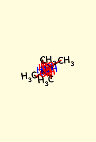 CCCCCC=CCC=CCCCCCCC(O)CN(CCCCC1NC(=O)C(CCCCN(CC(O)CCCCCC/C=C\C/C=C\CCCCC)CC(O)CCCCCC/C=C\C/C=C\CCCCC)NC1=O)CC(O)CCCCCC/C=C\C/C=C\CCCCC